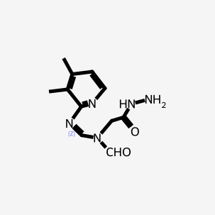 Cc1ccnc(/N=C\N(C=O)CC(=O)NN)c1C